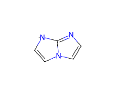 C1=Cn2ccnc2[N]1